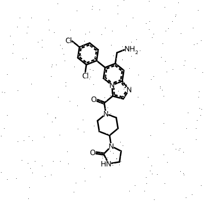 NCc1cc2ncc(C(=O)N3CCC(N4CCNC4=O)CC3)n2cc1-c1ccc(Cl)cc1Cl